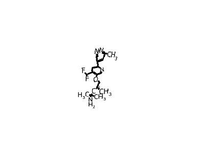 Cc1cc(-c2cc(C(F)F)c(OC[C@@H](C)CC(C)(C)N)cn2)cnn1